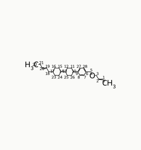 CC=CCOCc1ccc(C2CCC(C3CCC(C/C=C/CC)CC3)CC2)cc1